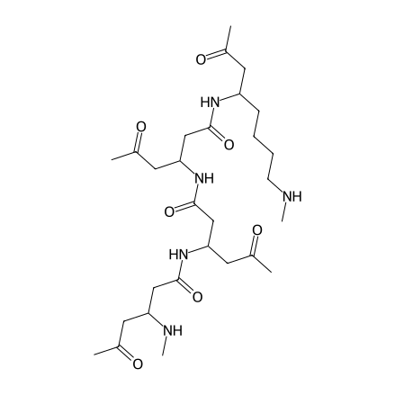 CNCCCCC(CC(C)=O)NC(=O)CC(CC(C)=O)NC(=O)CC(CC(C)=O)NC(=O)CC(CC(C)=O)NC